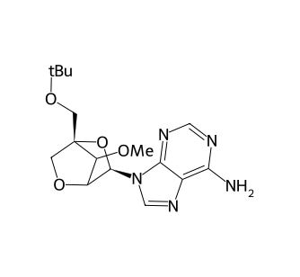 COC1C2OC[C@]1(COC(C)(C)C)O[C@H]2n1cnc2c(N)ncnc21